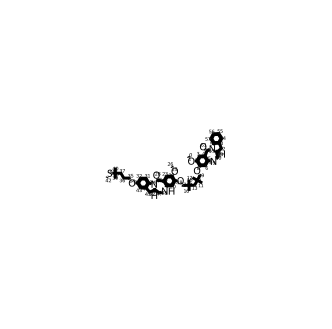 COc1cc2c(cc1OCC(C)(C)CC(C)(C)COc1cc3c(cc1OC)C(=O)N1c4ccc(OCCCC(C)(C)SC)cc4C[C@H]1CN3)N=C[C@@H]1Cc3ccccc3N1C2=O